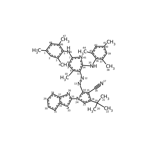 Cc1cc(C)c(Nc2cc(C)c(N=Nc3c(C#N)c(C(C)(C)C)cn3-c3nc4ccccc4s3)c(Nc3c(C)cc(C)cc3C)n2)c(C)c1